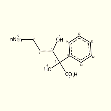 CCCCCCCCCCCC(O)C(O)(C(=O)O)c1ccccc1